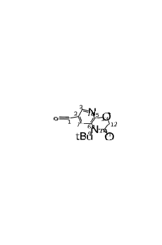 C#Cc1cnc2c(c1)N(C(C)(C)C)C(=O)CO2